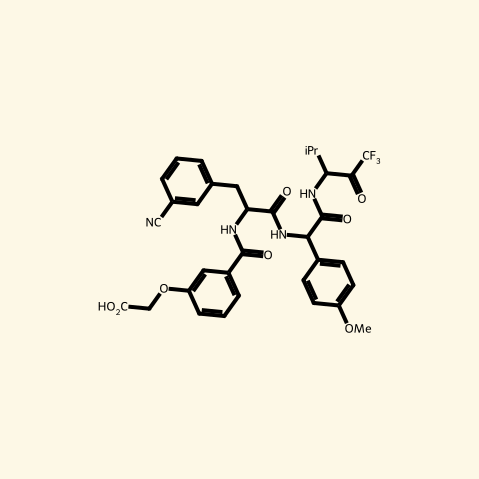 COc1ccc(C(NC(=O)C(Cc2cccc(C#N)c2)NC(=O)c2cccc(OCC(=O)O)c2)C(=O)NC(C(=O)C(F)(F)F)C(C)C)cc1